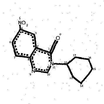 O=c1c2cc([N+](=O)[O-])ccc2ncn1C1CCCCC1